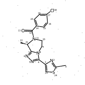 Cc1nc(-c2nnc3n2CCN(C(=O)c2ccc(Cl)cc2)[C@@H]3C)cs1